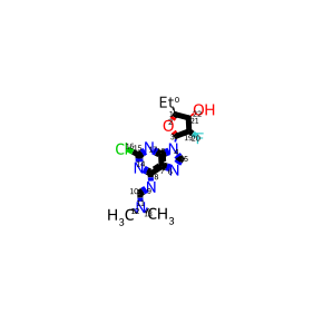 CC[C@H]1O[C@@H](n2cnc3c(/N=C/N(C)C)nc(Cl)nc32)C(F)[C@H]1O